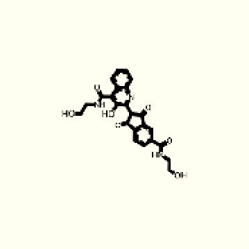 O=C(NCCO)c1ccc2c(c1)C(=O)C(c1nc3ccccc3c(C(=O)NCCO)c1O)C2=O